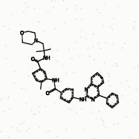 Cc1ccc(C(=O)NC(C)(C)CN2CCOCC2)cc1NC(=O)c1ccc(Nc2nc(-c3ccccc3)c3ccccc3n2)cc1